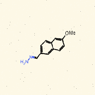 COc1ccc2cc(C=NN)ccc2c1